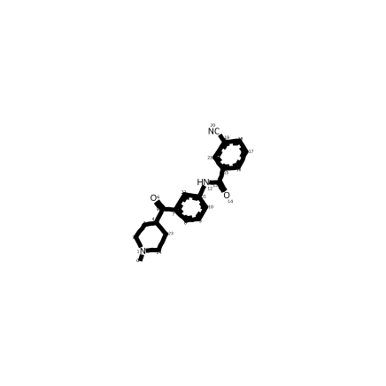 CN1CCC(C(=O)c2cccc(NC(=O)c3cccc(C#N)c3)c2)CC1